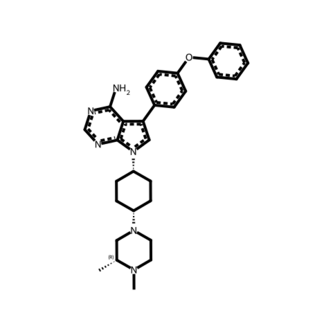 C[C@@H]1CN([C@H]2CC[C@@H](n3cc(-c4ccc(Oc5ccccc5)cc4)c4c(N)ncnc43)CC2)CCN1C